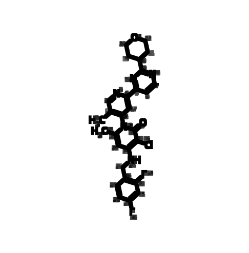 Cc1cnc(-c2ccnc(C3CCOCC3)n2)cc1-n1c(C)cc(NCc2ccc(F)cc2F)c(Cl)c1=O